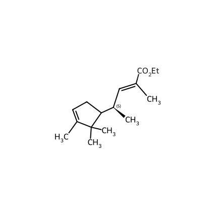 CCOC(=O)C(C)=C[C@@H](C)C1CC=C(C)C1(C)C